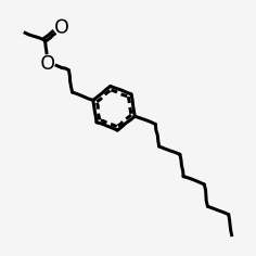 CCCCCCCCc1ccc(CCOC(C)=O)cc1